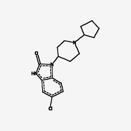 O=c1[nH]c2cc(Cl)ccc2n1C1CCN(C2CCCC2)CC1